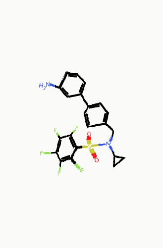 Nc1cccc(-c2ccc(CN(C3CC3)S(=O)(=O)c3c(F)c(F)c(F)c(F)c3F)cc2)c1